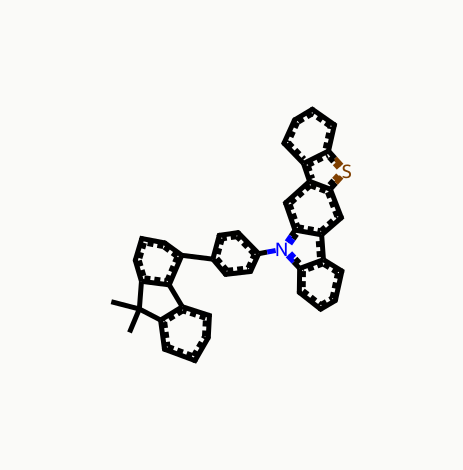 CC1(C)c2ccccc2-c2c(-c3ccc(-n4c5ccccc5c5cc6sc7ccccc7c6cc54)cc3)cccc21